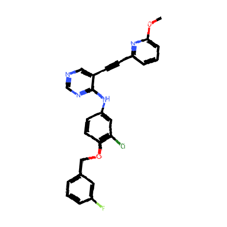 COc1cccc(C#Cc2cncnc2Nc2ccc(OCc3cccc(F)c3)c(Cl)c2)n1